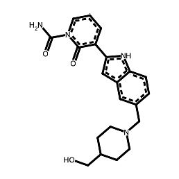 NC(=O)n1c[c]cc(-c2cc3cc(CN4CCC(CO)CC4)ccc3[nH]2)c1=O